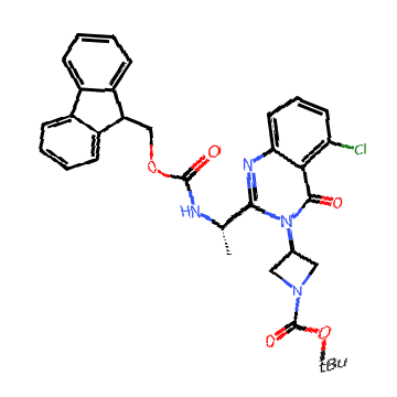 C[C@H](NC(=O)OCC1c2ccccc2-c2ccccc21)c1nc2cccc(Cl)c2c(=O)n1C1CN(C(=O)OC(C)(C)C)C1